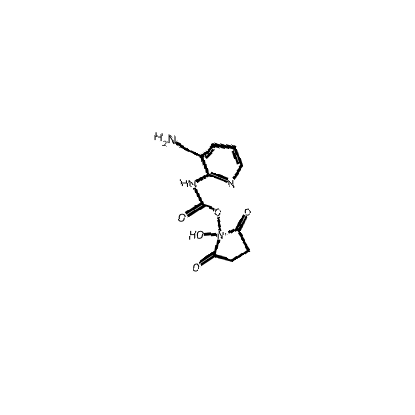 Nc1cccnc1NC(=O)O[N+]1(O)C(=O)CCC1=O